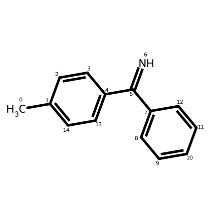 Cc1ccc(C(=N)c2ccccc2)cc1